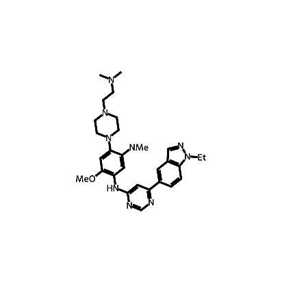 CCn1ncc2cc(-c3cc(Nc4cc(NC)c(N5CCN(CCN(C)C)CC5)cc4OC)ncn3)ccc21